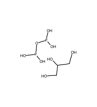 OCC(O)CO.OP(O)OP(O)O